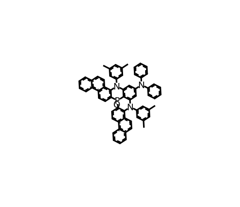 Cc1cc(C)cc(N2c3cc(N(c4ccccc4)c4ccccc4)cc4c3P(=O)(c3ccc5c(ccc6ccccc65)c32)c2ccc3c(ccc5ccccc53)c2N4c2cc(C)cc(C)c2)c1